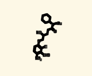 CCCCN(C(=O)CCC(O)COc1ccc([N+](=O)[O-])c(C=O)c1Cl)C1CCCCC1